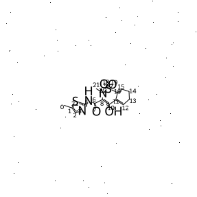 Cc1cnc(NC(=O)C2=C(O)C3=CCCC=C3S(=O)(=O)N2C)s1